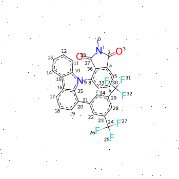 CN1C(=O)c2cccc(-n3c4ccccc4c4cccc(-c5cc(C(F)(F)F)cc(C(F)(F)F)c5)c43)c2C1=O